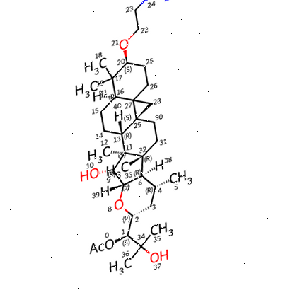 CC(=O)O[C@@H]([C@H]1C[C@@H](C)[C@H]2[C@H](O1)[C@H](O)[C@@]1(C)[C@@H]3CC[C@H]4C(C)(C)[C@@H](OCCN)CCC45C[C@@]35CC[C@]21C)C(C)(C)O